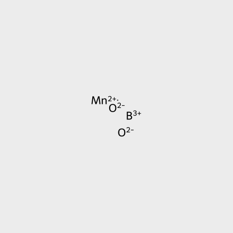 [B+3].[Mn+2].[O-2].[O-2]